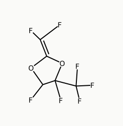 FC(F)=C1OC(F)C(F)(C(F)(F)F)O1